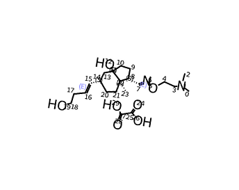 CN(C)CCO/N=C/[C@H]1CC[C@]2(O)C[C@@H](/C=C/CCO)CC[C@]12C.O=C(O)C(=O)O